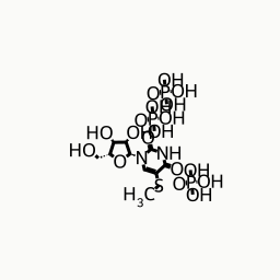 CSc1cn([C@@H]2O[C@H](CO)[C@@H](O)[C@H]2O)c(=O)[nH]c1=O.O=P(O)(O)O.O=P(O)(O)O.O=P(O)(O)O